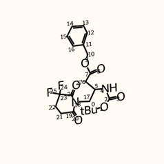 CC(C)(C)OC(=O)NC(CC(=O)OCc1ccccc1)CN1C(=O)CCC(F)(F)C1=O